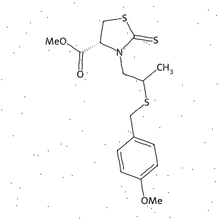 COC(=O)[C@@H]1CSC(=S)N1CC(C)SCc1ccc(OC)cc1